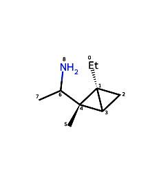 CC[C@]12CC1[C@]2(C)C(C)N